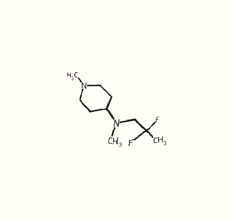 CN1CCC(N(C)CC(C)(F)F)CC1